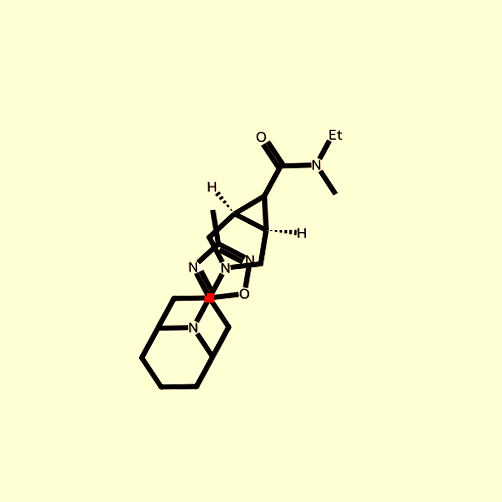 CCN(C)C(=O)C1[C@H]2CN(C3CC4CCCC(C3)N4c3nc(C)no3)C[C@@H]12